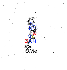 COC1CC(C(=O)Nc2ncc(Oc3cnc(N4CCCCC4)nc3)s2)C1